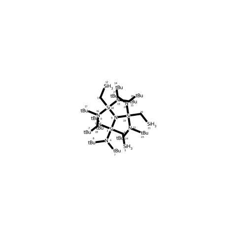 CC(C)(C)N(C(C)(C)C)[Si](C[SiH3])(N(C(C)(C)C)C(C)(C)C)N([Si](C[SiH3])(N(C(C)(C)C)C(C)(C)C)N(C(C)(C)C)C(C)(C)C)[Si](C[SiH3])(N(C(C)(C)C)C(C)(C)C)N(C(C)(C)C)C(C)(C)C